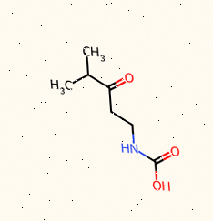 CC(C)C(=O)CCNC(=O)O